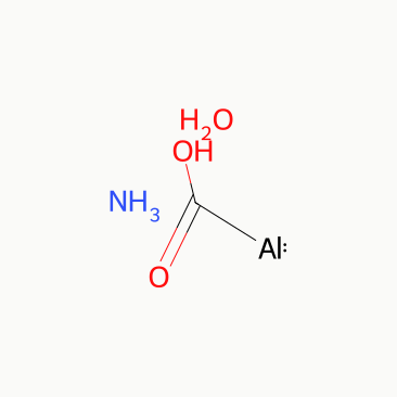 N.O.O=[C](O)[Al]